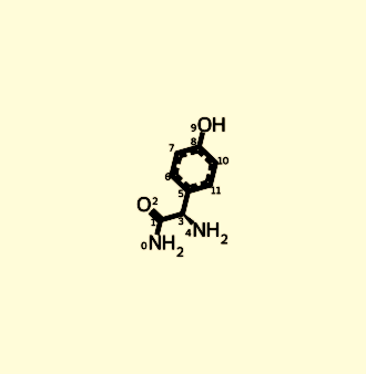 NC(=O)[C@H](N)c1ccc(O)cc1